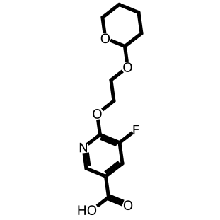 O=C(O)c1cnc(OCCOC2CCCCO2)c(F)c1